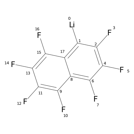 [Li][c]1c(F)c(F)c(F)c2c(F)c(F)c(F)c(F)c12